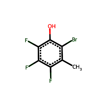 Cc1c(F)c(F)c(F)c(O)c1Br